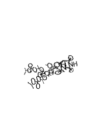 CO[C@](CF)(COP(=O)(OC(C)OC(=O)OC(C)C)OC(C)OC(=O)OC(C)C)[C@@H](O)[C@@](C)(O)n1ccc(=O)[nH]c1=O